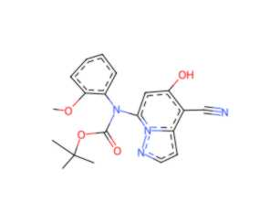 COc1ccccc1N(C(=O)OC(C)(C)C)c1cc(O)c(C#N)c2ccnn12